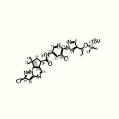 CC(O[Si](C)(C)C(C)(C)C)c1cnn(-c2ncc(NC(=O)C3CC(C)(C)c4c3cnc3cc(Cl)nn43)cc2Cl)n1